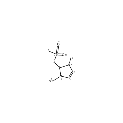 CCCN1C=CN(C)C1OS(C)(=O)=O